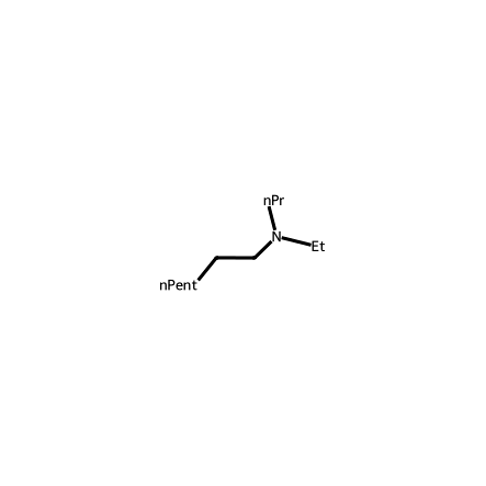 CCCCCCCN(CC)CCC